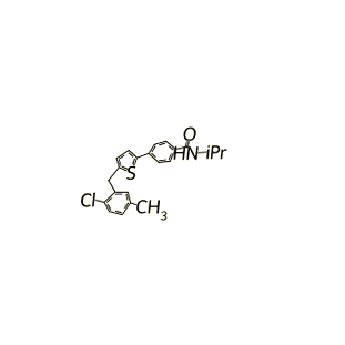 Cc1ccc(Cl)c(Cc2ccc(-c3ccc(C(=O)NC(C)C)cc3)s2)c1